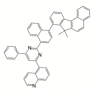 CC1(C)c2ccc3ccccc3c2-c2cccc(-c3ccc(-c4nc(-c5ccccc5)cc(-c5cccc6ncccc56)n4)c4ccccc34)c21